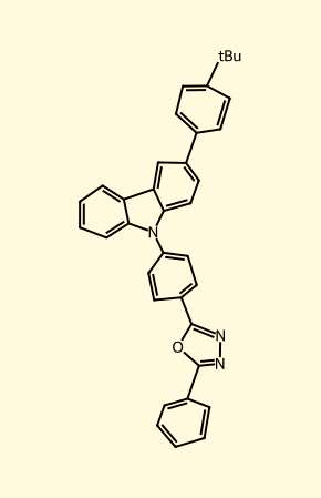 CC(C)(C)c1ccc(-c2ccc3c(c2)c2ccccc2n3-c2ccc(-c3nnc(-c4ccccc4)o3)cc2)cc1